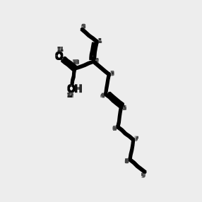 CC=C(CC=CCCCC)C(=O)O